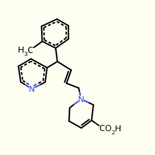 Cc1ccccc1C(C=CCN1CCC=C(C(=O)O)C1)c1cccnc1